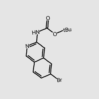 CC(C)(C)OC(=O)Nc1cc2cc(Br)ccc2cn1